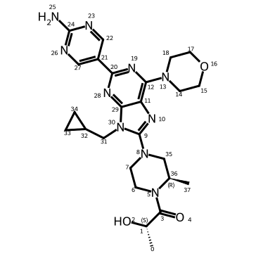 C[C@H](O)C(=O)N1CCN(c2nc3c(N4CCOCC4)nc(-c4cnc(N)nc4)nc3n2CC2CC2)C[C@H]1C